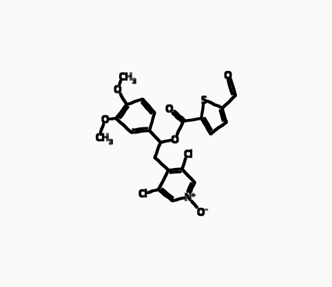 COc1ccc(C(Cc2c(Cl)c[n+]([O-])cc2Cl)OC(=O)c2ccc(C=O)s2)cc1OC